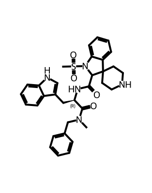 CN(Cc1ccccc1)C(=O)[C@@H](Cc1c[nH]c2ccccc12)NC(=O)C1N(S(C)(=O)=O)c2ccccc2C12CCNCC2